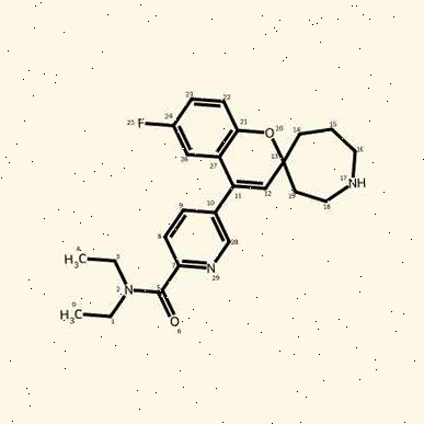 CCN(CC)C(=O)c1ccc(C2=CC3(CCCNCC3)Oc3ccc(F)cc32)cn1